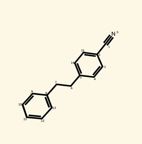 N#Cc1ccc(CCc2[c]cccc2)cc1